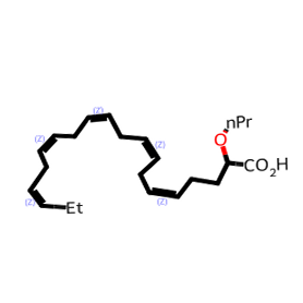 CC/C=C\C/C=C\C/C=C\C/C=C\C/C=C\CCC(OCCC)C(=O)O